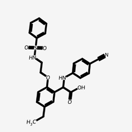 CCc1ccc(OCCNS(=O)(=O)c2ccccc2)c(C(Nc2ccc(C#N)cc2)C(=O)O)c1